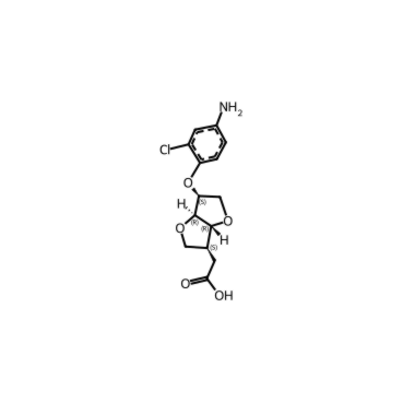 Nc1ccc(O[C@H]2CO[C@@H]3[C@@H](CC(=O)O)CO[C@H]32)c(Cl)c1